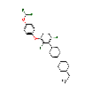 CC[C@H]1CC[C@H](C2CCC(c3c(F)c[c]c(Oc4ccc(OC(F)F)cc4)c3F)CC2)CC1